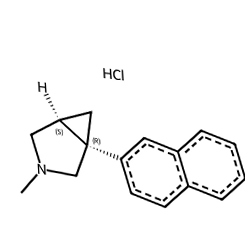 CN1C[C@H]2C[C@@]2(c2ccc3ccccc3c2)C1.Cl